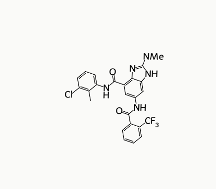 CNc1nc2c(C(=O)Nc3cccc(Cl)c3C)cc(NC(=O)c3ccccc3C(F)(F)F)cc2[nH]1